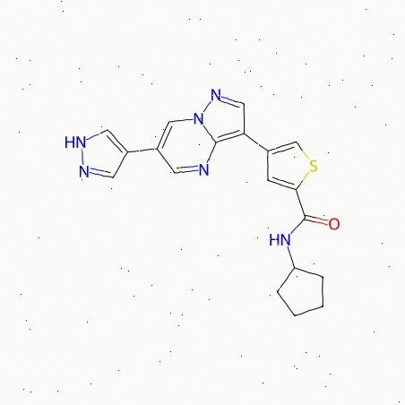 O=C(NC1CCCC1)c1cc(-c2cnn3cc(-c4cn[nH]c4)cnc23)cs1